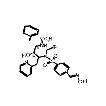 CC(C)CN(C(Cc1ccccn1)[C@H](O)[C@H](Cc1ccccc1)NC(=O)O)S(=O)(=O)c1ccc(C=NO)cc1